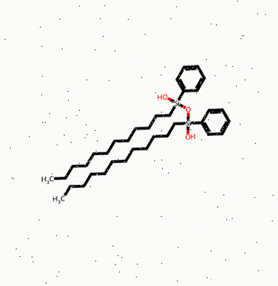 CCCCCCCCCCCC[Si](O)(O[Si](O)(CCCCCCCCCCCC)c1ccccc1)c1ccccc1